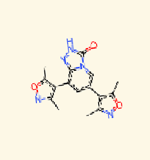 Cc1noc(C)c1-c1cc(-c2c(C)noc2C)c2n[nH]c(=O)n2c1